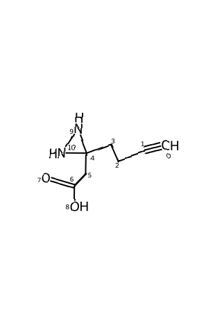 C#CCCC1(CC(=O)O)NN1